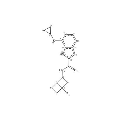 O=C(NC1CC2(F)CCC12)c1cc2ccnc(OC3CC3)c2[nH]1